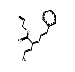 C=CCOC(=O)C(C=CC#N)=CC=Cc1ccccc1